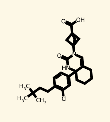 CC(C)(C)CCc1ccc(C23CCCCC2=CN(C24CC(C(=O)O)(C2)C4)C(=O)N3)cc1Cl